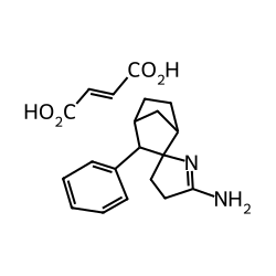 NC1=NC2(CC1)C1CCC(C1)C2c1ccccc1.O=C(O)/C=C/C(=O)O